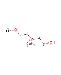 CCOCCOCCO.[CaH2]